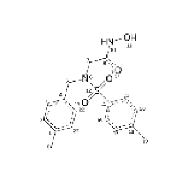 Cc1ccc(CN(CC(=O)NO)S(=O)(=O)c2ccc(C)cc2)cc1